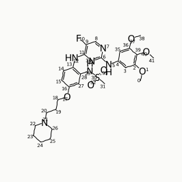 COc1cc(Nc2ncc(F)c(Nc3ccc(OCCCN4CCCCC4)cc3NS(C)(=O)=O)n2)cc(OC)c1OC